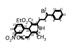 CCOC(=O)C1=C(CCC(Br)c2ccccc2)NC(C)=C(C=C=O)C1c1cccc([N+](=O)[O-])c1